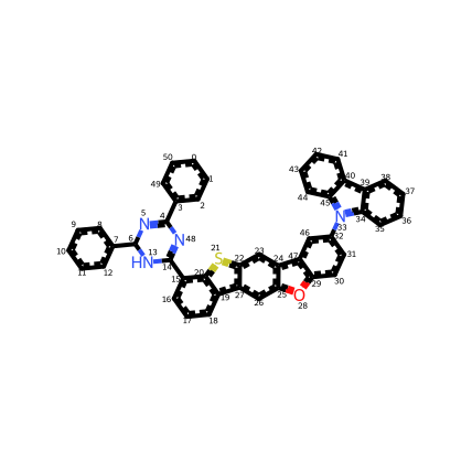 c1ccc(C2=NC(c3ccccc3)NC(c3cccc4c3sc3cc5c(cc34)oc3ccc(-n4c6ccccc6c6ccccc64)cc35)=N2)cc1